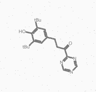 CC(C)(C)c1cc(CCC(=O)c2ncncn2)cc(C(C)(C)C)c1O